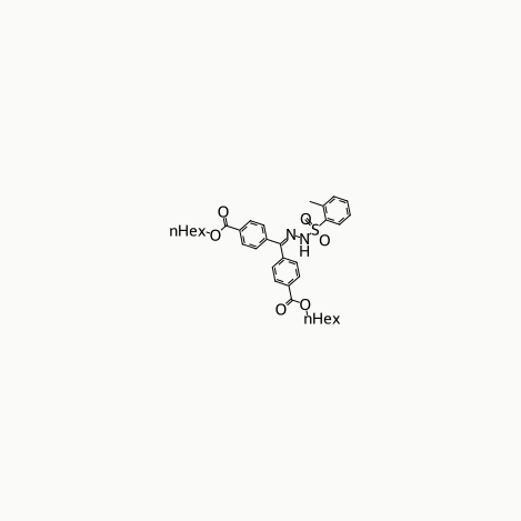 CCCCCCOC(=O)c1ccc(C(=NNS(=O)(=O)c2ccccc2C)c2ccc(C(=O)OCCCCCC)cc2)cc1